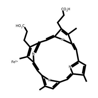 CC1=Cc2cc3[n-]c(cc4nc(cc5[n-]c(cc1n2)cc5C)C(C)=C4CCC(=O)O)c(CCC(=O)O)c3C.[Fe+2]